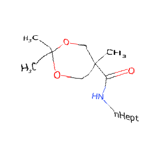 CCCCCCCNC(=O)C1(C)COC(C)(C)OC1